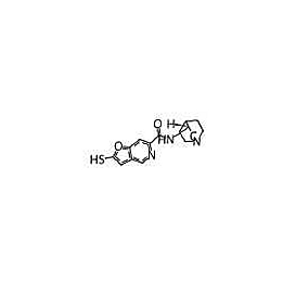 O=C(N[C@H]1CN2CCC1CC2)c1cc2oc(S)cc2cn1